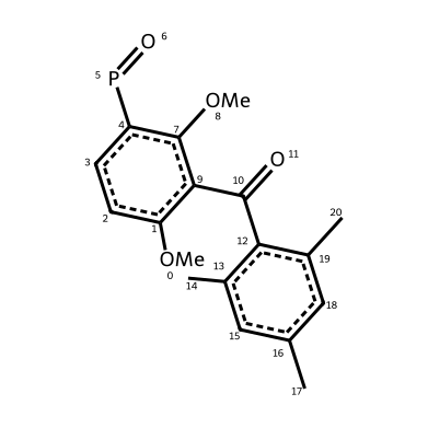 COc1ccc(P=O)c(OC)c1C(=O)c1c(C)cc(C)cc1C